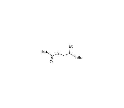 CCCCC(CC)CSC(=O)C(C)CC